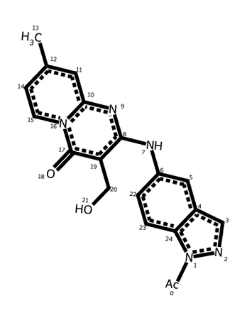 CC(=O)n1ncc2cc(Nc3nc4cc(C)ccn4c(=O)c3CO)ccc21